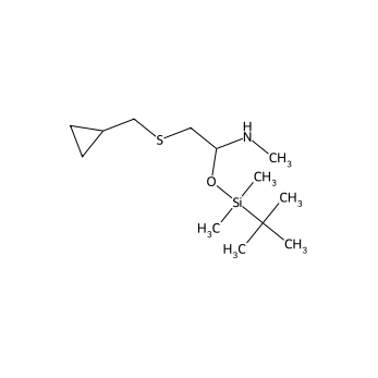 CNC(CSCC1CC1)O[Si](C)(C)C(C)(C)C